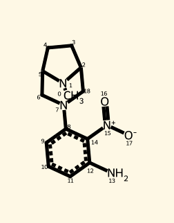 CN1C2CCC1CN(c1cccc(N)c1[N+](=O)[O-])C2